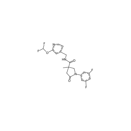 CC1(C(=O)NCc2ccnc(OC(F)F)c2)CC(=O)N(c2cc(F)cc(F)c2)C1